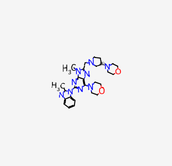 Cc1nc2ccccc2n1-c1nc(N2CCOCC2)c2nc(CN3CC[C@H](N4CCOCC4)C3)n(C)c2n1